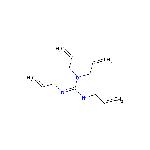 C=CC[N]/C(=N/CC=C)N(CC=C)CC=C